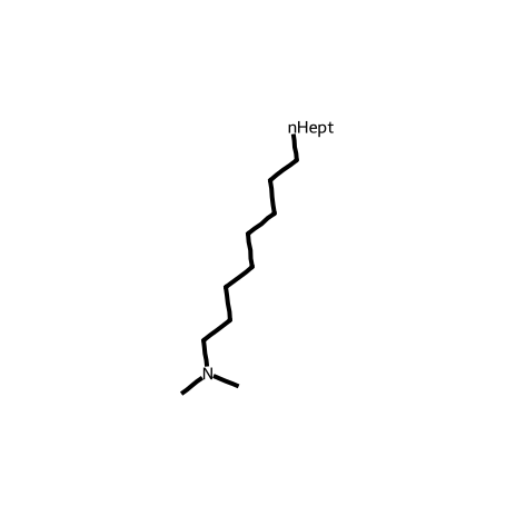 CCCCCCCCCCCCCCCN(C)C